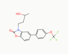 CC(O)CCn1c(=O)oc2ccc(-c3ccc(OC(F)(F)F)cc3)cc21